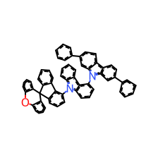 c1ccc(-c2ccc3c4ccc(-c5ccccc5)cc4n(-c4cccc5c4c4ccccc4n5-c4cccc5c4-c4ccccc4C54c5ccccc5Oc5ccccc54)c3c2)cc1